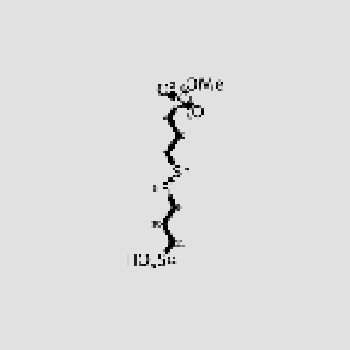 COS(=O)(=O)CCCSSCCCS(=O)(=O)O